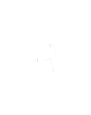 [Li][CH](C)CCC